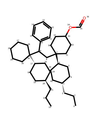 CCC[C@H]1CC[C@H](C2(CC(c3ccccc3)C3([C@H]4CC[C@H](CCC)CC4)CCCCC3)CCC(OC=O)CC2)CC1